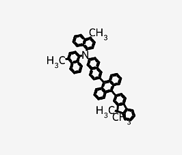 Cc1ccc(N(c2ccc3cc(-c4c5ccccc5c(-c5ccc6c(c5)C(C)(C)c5ccccc5-6)c5ccccc45)ccc3c2)c2ccc(C)c3ccccc23)c2ccccc12